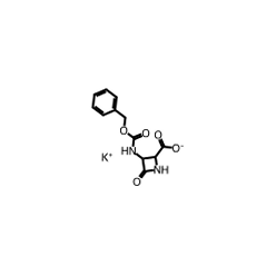 O=C(NC1C(=O)NC1C(=O)[O-])OCc1ccccc1.[K+]